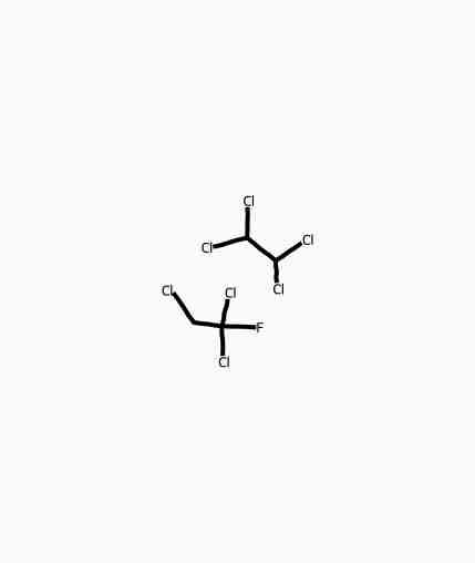 ClC(Cl)C(Cl)Cl.FC(Cl)(Cl)CCl